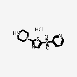 Cl.O=S(=O)(c1cccnc1)c1cnc(N2CCNCC2)s1